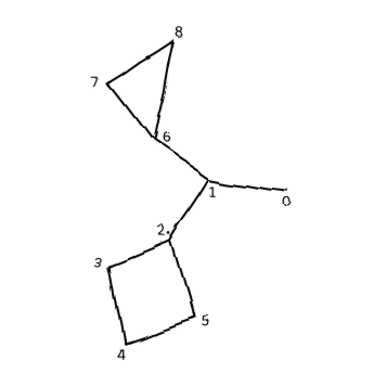 CC([C]1CCC1)C1CC1